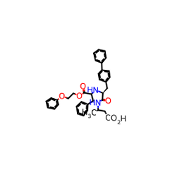 C[C@H](CC(=O)O)NC(=O)[C@H](Cc1ccc(-c2ccccc2)cc1)NC(Cc1ccccc1)C(=O)OCCOc1ccccc1